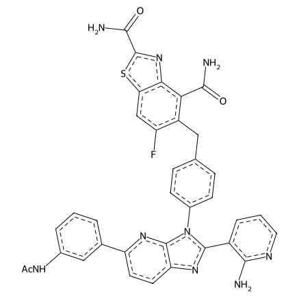 CC(=O)Nc1cccc(-c2ccc3nc(-c4cccnc4N)n(-c4ccc(Cc5c(F)cc6sc(C(N)=O)nc6c5C(N)=O)cc4)c3n2)c1